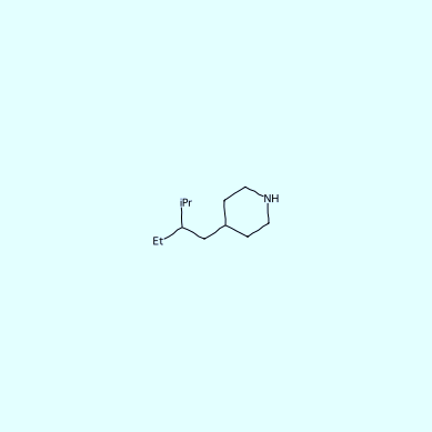 CCC(CC1CCNCC1)C(C)C